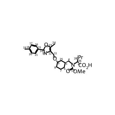 COC(=O)N(C[C@H]1CCC[C@@H](OCc2nc(-c3ccc(C)cc3)oc2C)C1)[C@H](C(=O)O)C(C)C